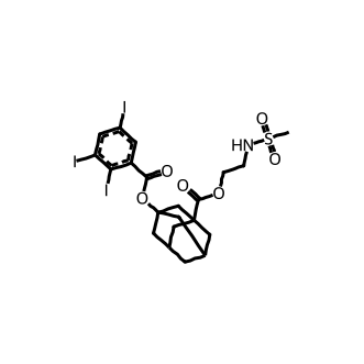 CS(=O)(=O)NCCOC(=O)C12CC3CC(CC(OC(=O)c4cc(I)cc(I)c4I)(C3)C1)C2